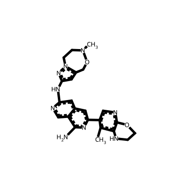 Cc1c(-c2cc3cc(Nc4cc5n(n4)CCN(C)OC5)ncc3c(N)n2)cnc2c1NCCO2